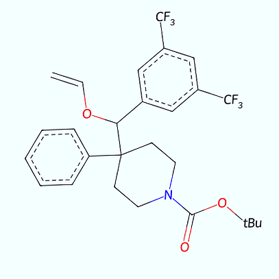 C=COC(c1cc(C(F)(F)F)cc(C(F)(F)F)c1)C1(c2ccccc2)CCN(C(=O)OC(C)(C)C)CC1